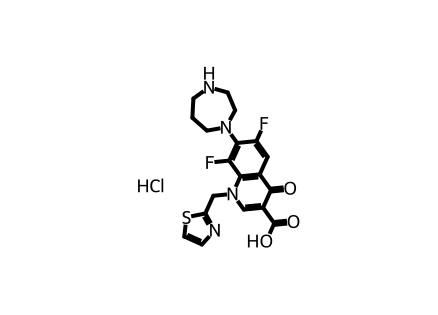 Cl.O=C(O)c1cn(Cc2nccs2)c2c(F)c(N3CCCNCC3)c(F)cc2c1=O